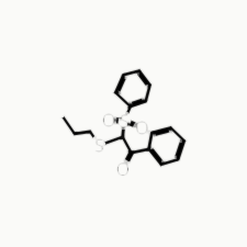 CCCSC(C(=O)c1ccccc1)S(=O)(=O)c1ccccc1